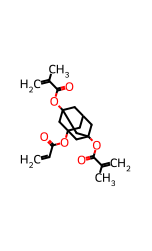 C=CC(=O)OC12CC3CC(OC(=O)C(=C)C)(C1)CC(OC(=O)C(=C)C)(C3)C2